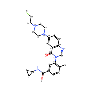 Cc1ccc(C(=O)NC2CC2)cc1-n1cnc2ccc(N3CCN(CCF)CC3)cc2c1=O